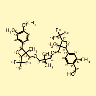 COc1ccc(C2OC(C(F)(F)F)C2(C)COCC(C)(C)COCC2(C)C(c3ccc(CO)c(C)c3)OC2C(F)(F)F)cc1C